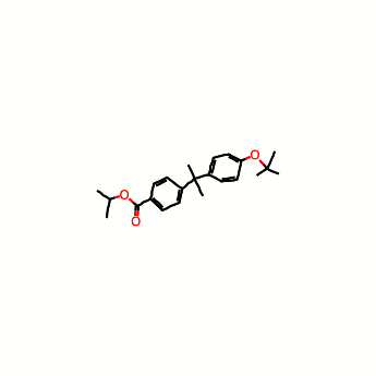 CC(C)OC(=O)c1ccc(C(C)(C)c2ccc(OC(C)(C)C)cc2)cc1